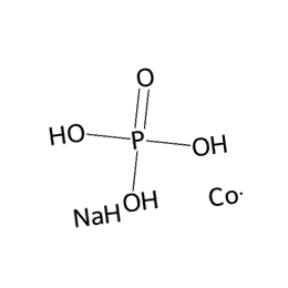 O=P(O)(O)O.[Co].[NaH]